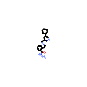 NNC(=O)c1cccc2c1ccn2Cc1cncc(-c2ccccc2)c1